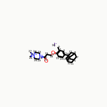 Cc1cc(C23CC4CC(CC(C4)C2)C3)ccc1OCCC(=O)N1CC[N+](C)(C)CC1.[I-]